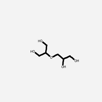 OCC(O)COC(CO)CO